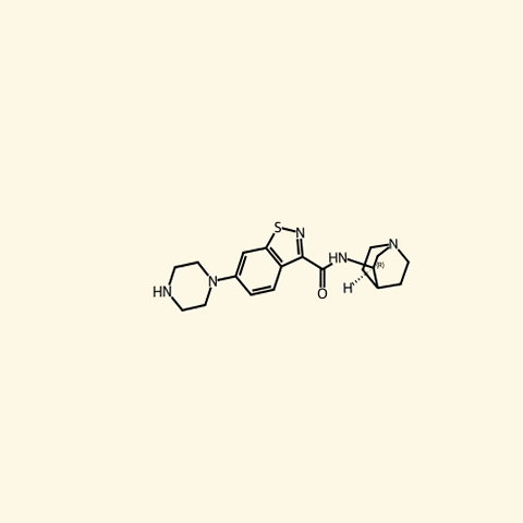 O=C(N[C@H]1CN2CCC1CC2)c1nsc2cc(N3CCNCC3)ccc12